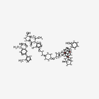 Cc1ncsc1-c1ccc([C@H](C)NC(=O)[C@@H]2C[C@@H](O)CN2C(=O)[C@H](c2onc(OCCN3CCC(OC4CC(Oc5cc(N6C7CC[C@@H]6CN(c6cc(-c8ccccc8O)nnc6N)C7)ccn5)C4)CC3)c2F)C(C)C)cn1